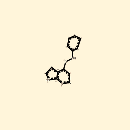 c1ccc(NOc2ccnc3[nH]ccc23)cc1